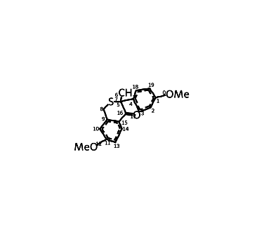 COc1ccc(C2(C)SCc3cc(OC)ccc3C2=O)cc1